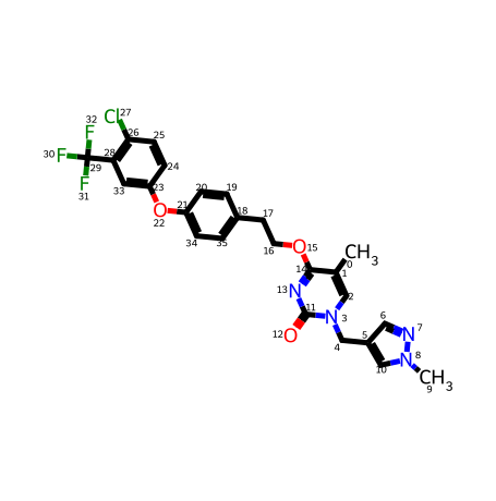 Cc1cn(Cc2cnn(C)c2)c(=O)nc1OCCc1ccc(Oc2ccc(Cl)c(C(F)(F)F)c2)cc1